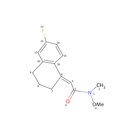 CON(C)C(=O)C=C1CCCc2cc(F)ccc21